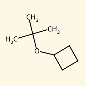 [CH2]C(C)(C)OC1CCC1